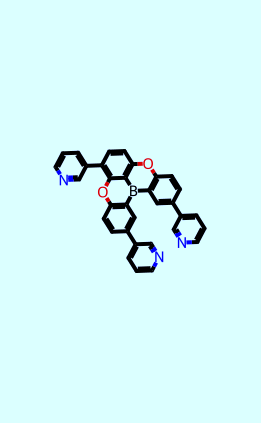 c1cncc(-c2ccc3c(c2)B2c4cc(-c5cccnc5)ccc4Oc4c(-c5cccnc5)ccc(c42)O3)c1